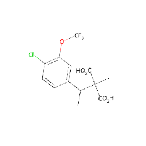 CC(c1ccc(Cl)c(OC(F)(F)F)c1)C(C)(C(=O)O)C(=O)O